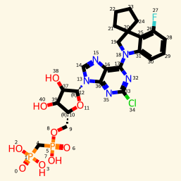 O=P(O)(O)CP(=O)(O)OC[C@H]1O[C@@H](n2cnc3c(N4CC5(CCCC5)c5c(F)cccc54)nc(Cl)nc32)C(O)C1O